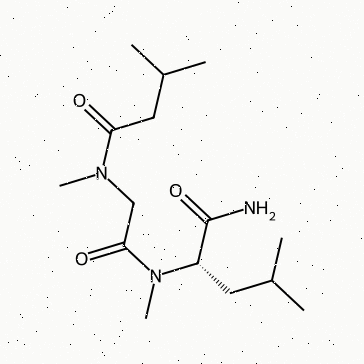 CC(C)CC(=O)N(C)CC(=O)N(C)[C@@H](CC(C)C)C(N)=O